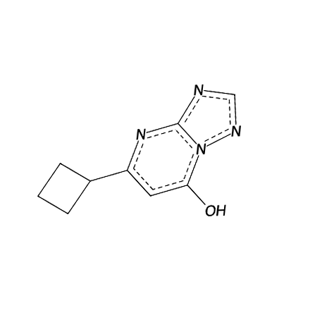 Oc1cc(C2CCC2)nc2ncnn12